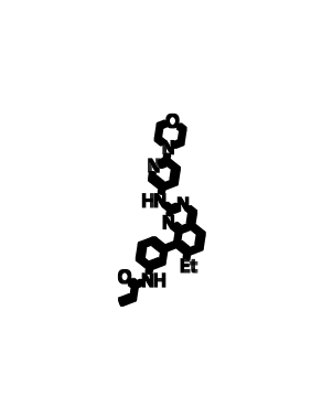 C=CC(=O)Nc1cccc(-c2c(CC)ccc3cnc(Nc4ccc(N5CCOCC5)nc4)nc23)c1